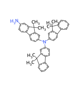 CC1(C)c2ccccc2-c2ccc(N(c3ccc4c(c3)C(C)(C)c3ccccc3-4)c3ccc4c(c3)C(C)(C)c3cc(N)ccc3-4)cc21